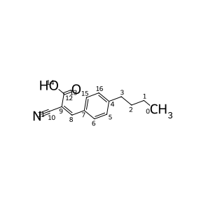 CCCCc1ccc(C=C(C#N)C(=O)O)cc1